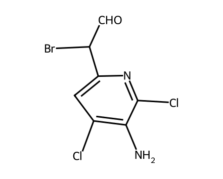 Nc1c(Cl)cc(C(Br)C=O)nc1Cl